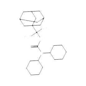 CC(C)(OC(=O)N(C1CCCCC1)C1CCCCC1)C12CC3CC(CC(C3)C1)C2